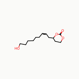 O=C1OCCC(C/C=C\CCCCCCO)O1